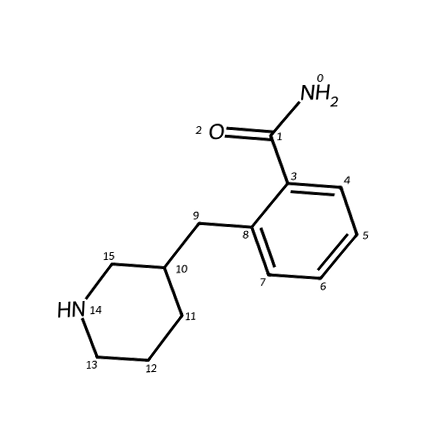 NC(=O)c1ccccc1CC1CCCNC1